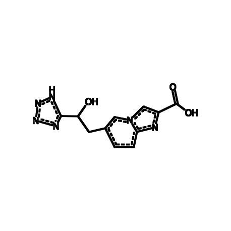 O=C(O)c1cn2cc(CC(O)c3nnn[nH]3)ccc2n1